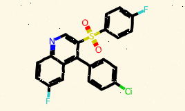 O=S(=O)(c1ccc(F)cc1)c1cnc2ccc(F)cc2c1-c1ccc(Cl)cc1